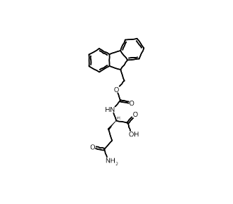 NC(=O)CC[C@@H](NC(=O)OCC1c2ccccc2-c2ccccc21)C(=O)O